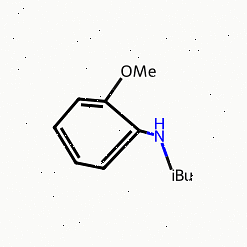 CCC(C)Nc1ccccc1OC